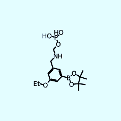 CCOc1cc(CNCO[PH](=O)O)cc(B2OC(C)(C)C(C)(C)O2)c1